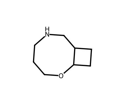 C1CNCC2CCC2OC1